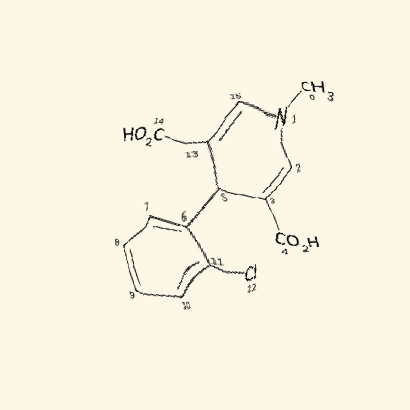 CN1C=C(C(=O)O)C(c2ccccc2Cl)C(C(=O)O)=C1